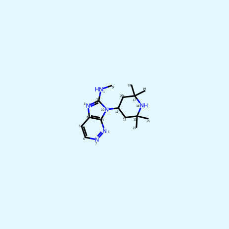 CNc1nc2ccnnc2n1C1CC(C)(C)NC(C)(C)C1